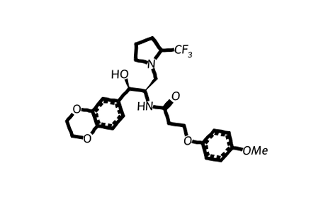 COc1ccc(OCCC(=O)N[C@H](CN2CCCC2C(F)(F)F)[C@H](O)c2ccc3c(c2)OCCO3)cc1